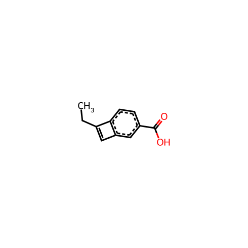 CCC1=Cc2cc(C(=O)O)ccc21